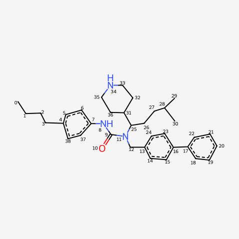 CCCCc1ccc(NC(=O)N(Cc2ccc(-c3ccccc3)cc2)C(CCC(C)C)C2CCNCC2)cc1